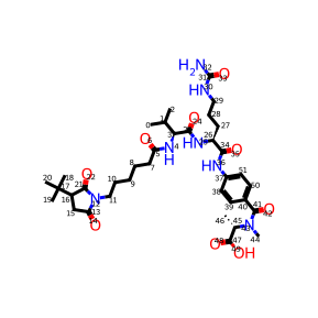 CC(C)[C@H](NC(=O)CCCCCN1C(=O)CC(C(C)(C)C)C1=O)C(=O)N[C@@H](CCCNC(N)=O)C(=O)Nc1ccc(C(=O)N(C)[C@@H](C)C(=O)O)cc1